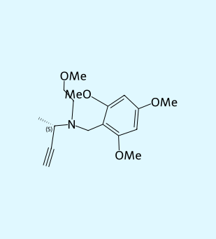 C#C[C@H](C)N(CCOC)Cc1c(OC)cc(OC)cc1OC